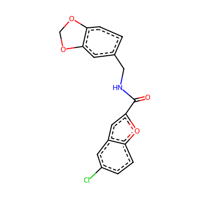 O=C(NCc1ccc2c(c1)OCO2)c1cc2cc(Cl)ccc2o1